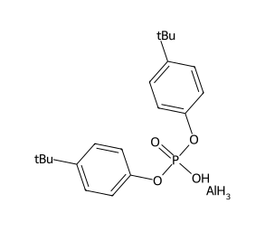 CC(C)(C)c1ccc(OP(=O)(O)Oc2ccc(C(C)(C)C)cc2)cc1.[AlH3]